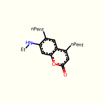 CCCCCc1cc2c(CCCCC)cc(=O)oc2cc1NCC